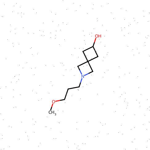 COCCCN1CC2(CC(O)C2)C1